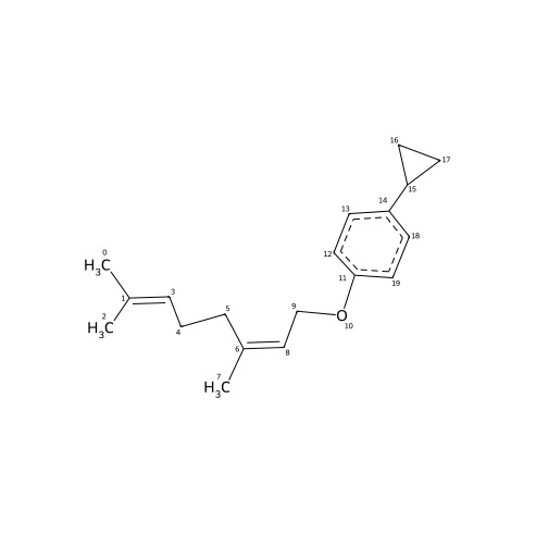 CC(C)=CCCC(C)=CCOc1ccc(C2CC2)cc1